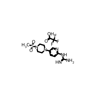 CS(=O)(=O)N1CCN(c2ccc(NC(=N)N)nc2)CC1.O=C(O)C(F)(F)F